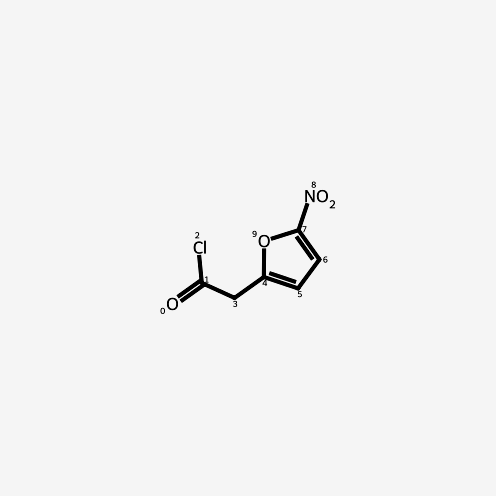 O=C(Cl)Cc1ccc([N+](=O)[O-])o1